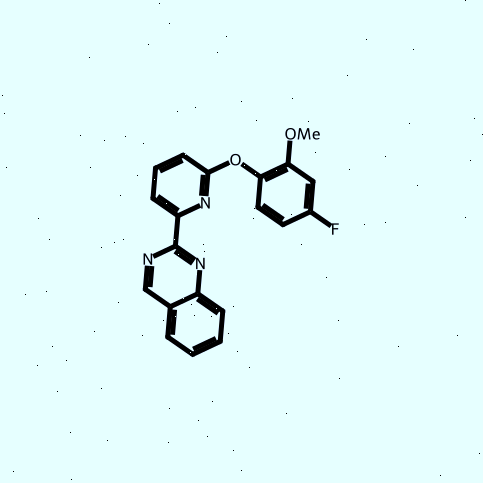 COc1cc(F)ccc1Oc1cccc(-c2ncc3ccccc3n2)n1